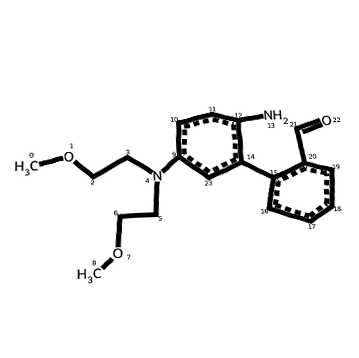 COCCN(CCOC)c1ccc(N)c(-c2ccccc2C=O)c1